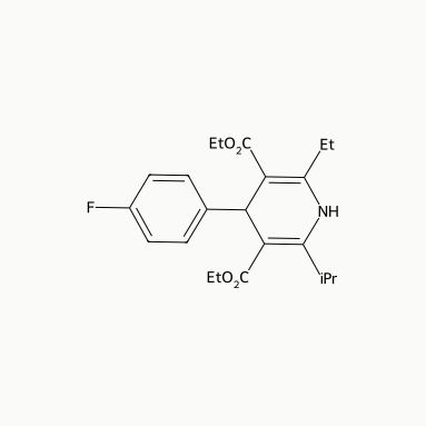 CCOC(=O)C1=C(CC)NC(C(C)C)=C(C(=O)OCC)C1c1ccc(F)cc1